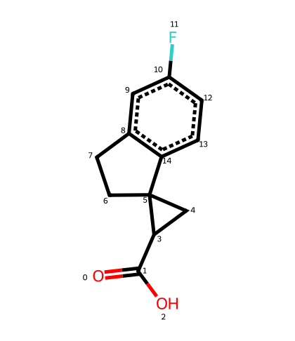 O=C(O)C1CC12CCc1cc(F)ccc12